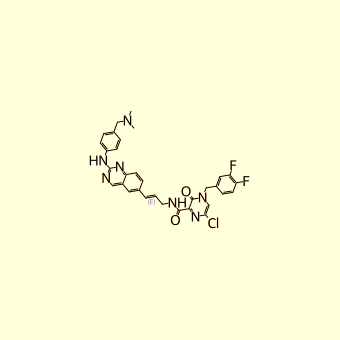 CN(C)Cc1ccc(Nc2ncc3cc(/C=C/CNC(=O)c4nc(Cl)cn(Cc5ccc(F)c(F)c5)c4=O)ccc3n2)cc1